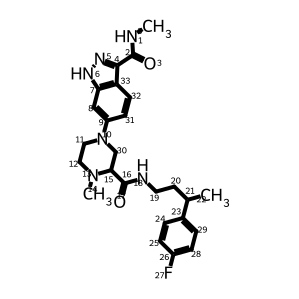 CNC(=O)c1n[nH]c2cc(N3CCN(C)C(C(=O)NCCC(C)c4ccc(F)cc4)C3)ccc12